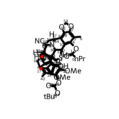 CCCC(=O)Oc1c(C)c2c(c3c1[C@H]1SC[C@]4(NCCc5cc(OC(=O)OC(C)(C)C)c(OC)cc54)C(=O)OC[C@@H]3N3C1[C@@H]1c4c(cc(C)c(OC)c4O)C[C@H]([C@@H]3C#N)N1C)OCO2